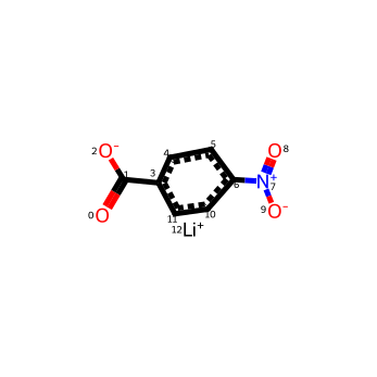 O=C([O-])c1ccc([N+](=O)[O-])cc1.[Li+]